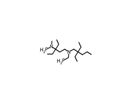 CCCC(CC)(CC)CN(CP)CCC(CC)(CC)N(C)P